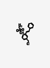 CS(C)(=O)=O.ClCc1cccc(C=Cc2ccccc2)c1